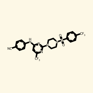 N#Cc1ccc(Nc2cc(C(F)(F)F)nc(N3CCN(S(=O)(=O)c4ccc(C(F)(F)F)cc4)CC3)n2)cc1